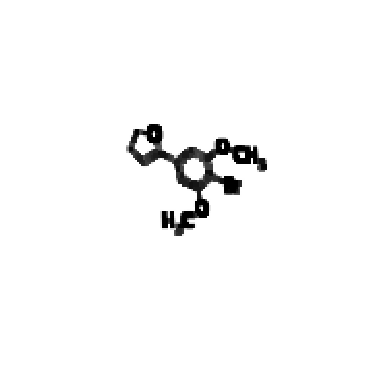 COc1cc(C2=CCCO2)cc(OC)c1Br